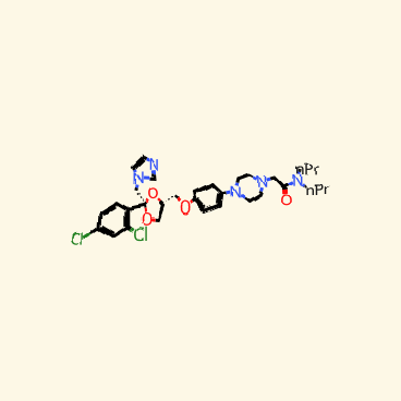 CCCN(CCC)C(=O)CN1CCN(c2ccc(OC[C@@H]3CO[C@@](Cn4ccnc4)(c4ccc(Cl)cc4Cl)O3)cc2)CC1